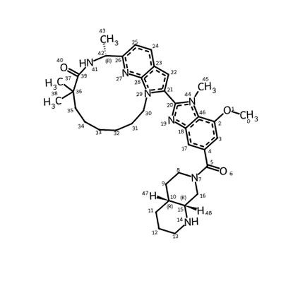 COc1cc(C(=O)N2CC[C@H]3CCCN[C@H]3C2)cc2nc(-c3cc4ccc5nc4n3CCCCCCC(C)(C)C(=O)N[C@@H]5C)n(C)c12